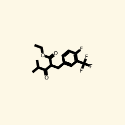 CCOC(=O)C(Cc1ccc(F)c(C(F)(F)F)c1)C(=O)C(C)C